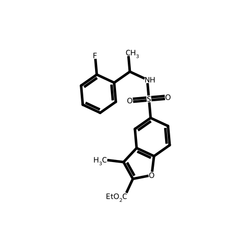 CCOC(=O)c1oc2ccc(S(=O)(=O)NC(C)c3ccccc3F)cc2c1C